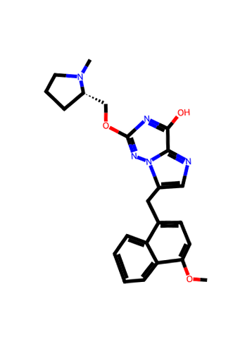 COc1ccc(Cc2cnc3c(O)nc(OC[C@@H]4CCCN4C)nn23)c2ccccc12